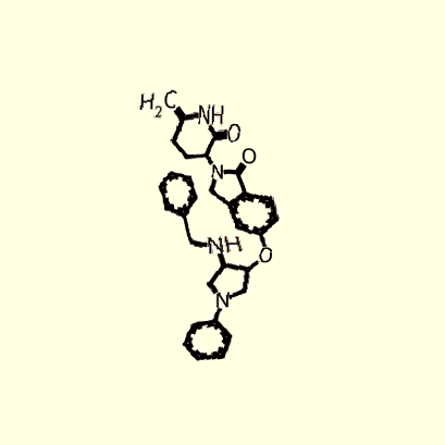 C=C1CCC(N2Cc3cc(OC4CN(c5ccccc5)CC4NCc4ccccc4)ccc3C2=O)C(=O)N1